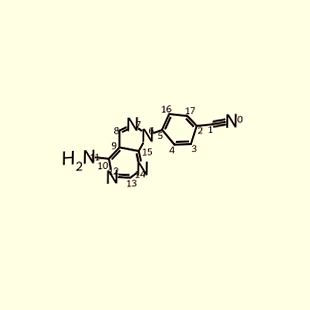 N#Cc1ccc(-n2ncc3c(N)ncnc32)cc1